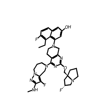 CCc1c(F)ccc2cc(O)cc(N3CCc4c(nc(OC[C@@]56CCCN5C[C@H](F)C6)nc4N4CCCn5nc(NC)c(F)c5C4)C3)c12